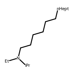 CCCCCCCCCCCCCN(CC)C(C)C